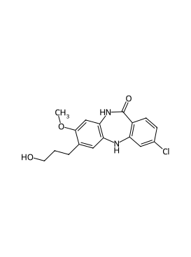 COc1cc2c(cc1CCCO)Nc1cc(Cl)ccc1C(=O)N2